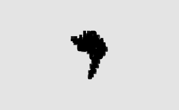 CCCCCCCC(=O)O[C@@]12C[C@@H](C)[C@]34C=C(C)[C@H](OC(=O)CCC)[C@@]3(O)[C@H](O)C(CO)=C[C@H](C4O)[C@@H]1C2(C)C